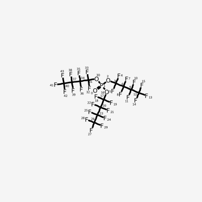 O=P(OC(F)(F)C(F)(F)C(F)(F)C(F)(F)F)(OC(F)(F)C(F)(F)C(F)(F)C(F)(F)F)OC(F)(F)C(F)(F)C(F)(F)C(F)(F)F